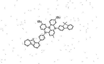 Cc1cc2c3c(c1)N(c1ccc4c(c1)C(C)(C)c1ccccc1-4)c1cc(C(C)(C)C)ccc1B3c1cc(C(C)(C)C)ccc1N2c1ccc(-c2cccc3c2sc2ccccc23)cc1